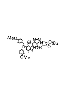 COc1ccc(CN(Cc2ccc(OC)cc2)c2cc(C)c(I)c(-c3nc4c5c(ncnc5c3Cl)N3CC5CCC(C3C(C)O4)N5C(=O)OC(C)(C)C)c2F)cc1